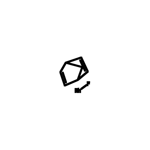 C1=CC2C=CC1C2.[F][Rh]